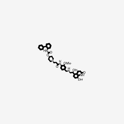 COc1cc(CNC[C@H](O)c2ccc(O)c3[nH]c(=O)ccc23)ccc1NC(=O)CCN1CCC(OC(=O)Nc2ccccc2-c2ccccc2)CC1